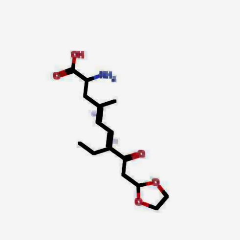 CC/C(=C\C=C(/C)CC(N)C(=O)O)C(=O)CC1OCCO1